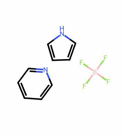 F[B-](F)(F)F.c1cc[nH]c1.c1ccncc1